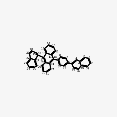 c1ccc2cc(-c3ccc(-c4c5ccccc5c(-c5cccc6ccccc56)c5ccccc45)cc3)ccc2c1